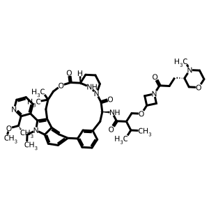 CCn1c(-c2cccnc2[C@H](C)OC)c2c3cc(ccc31)-c1cccc(c1)C[C@H](NC(=O)C(COC1CN(C(=O)CC[C@H]3COCCN3C)C1)C(C)C)C(=O)N1CCC[C@H](N1)C(=O)OCC(C)(C)C2